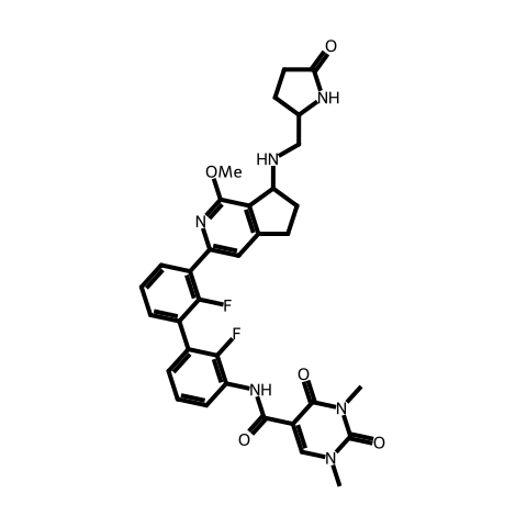 COc1nc(-c2cccc(-c3cccc(NC(=O)c4cn(C)c(=O)n(C)c4=O)c3F)c2F)cc2c1C(NCC1CCC(=O)N1)CC2